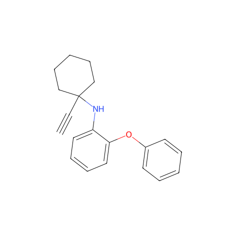 C#CC1(Nc2ccccc2Oc2ccccc2)CCCCC1